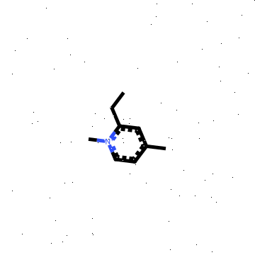 CCc1cc(C)cc[n+]1C